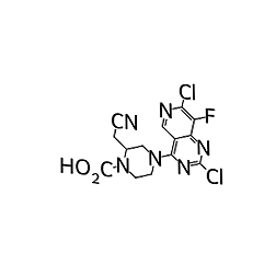 N#CCC1CN(c2nc(Cl)nc3c(F)c(Cl)ncc23)CCN1C(=O)O